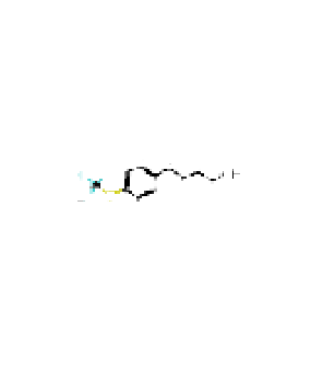 [CH2]CCCCc1ccc(SC(F)(F)F)cc1